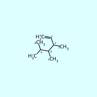 C=CC(C)C(C)C(C)C